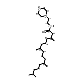 CC(C)CCCC(C)CCCC(C)CCCC(C)CC(=O)NCCN1CCOCC1